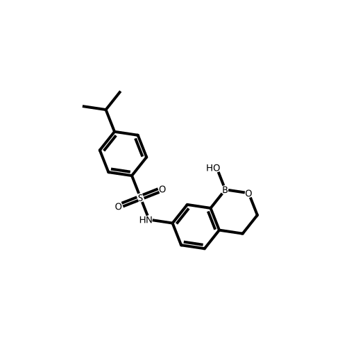 CC(C)c1ccc(S(=O)(=O)Nc2ccc3c(c2)B(O)OCC3)cc1